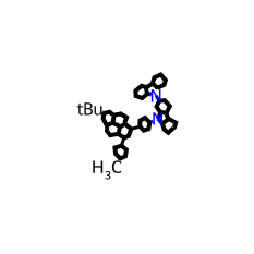 Cc1ccc(-c2cc(-c3ccc(-n4c5ccccc5c5ccc(-n6c7ccccc7c7ccccc76)cc54)cc3)c3ccc4cc(C(C)(C)C)cc5ccc2c3c54)cc1